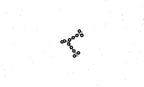 c1ccc2c(c1)Sc1ccccc1N2c1ccc(-c2ccc(-c3ccc4c(c3)c3cc(-c5ccc(-c6ccc(N7c8ccccc8Sc8ccccc87)cc6)cc5)ccc3n4-c3ccc4ccccc4c3)cc2)cc1